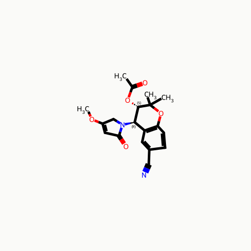 COC1=CC(=O)N([C@@H]2c3cc(C#N)ccc3OC(C)(C)[C@H]2OC(C)=O)C1